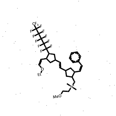 CCO/C=C\C1CC(/C=C/C2CC(/C=C\c3ccccc3)C(C[N+](C)(C)CCOC)C2)CC1C(F)(F)C(F)(F)C(F)(F)C(F)(F)C(F)(F)C(F)(F)F